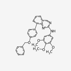 COc1cc(Nc2ncc3cccc(-c4ccc(OCc5ccccc5)cc4)c3n2)cc(OC)c1OC